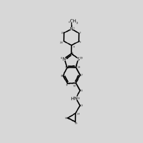 CN1CCC(c2nc3ccc(CNCC4CC4)cc3s2)CC1